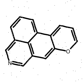 C1=COc2cc3cncc4cccc(c2=C1)c43